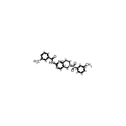 Cc1cccc(C(=O)Nc2ncc3c(n2)CCN(S(=O)(=O)c2cccc(C)c2)C3)c1